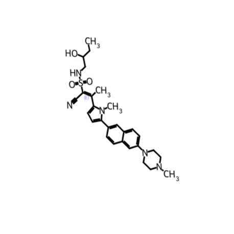 CCC(O)CNS(=O)(=O)/C(C#N)=C(\C)c1ccc(-c2ccc3cc(N4CCN(C)CC4)ccc3c2)n1C